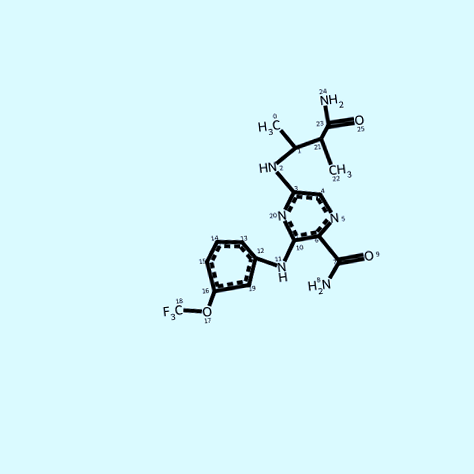 CC(Nc1cnc(C(N)=O)c(Nc2cccc(OC(F)(F)F)c2)n1)C(C)C(N)=O